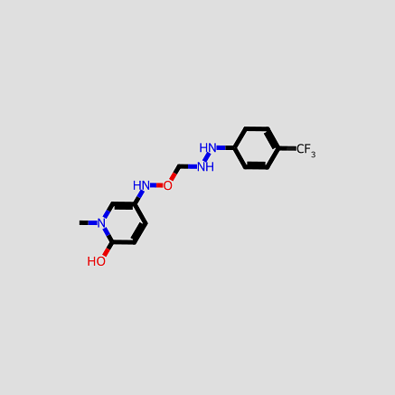 CN1C=C(NOCNNC2C=CC(C(F)(F)F)=CC2)C=CC1O